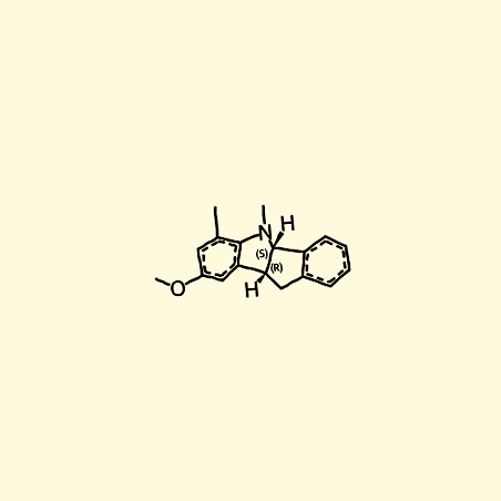 COc1cc(C)c2c(c1)[C@H]1Cc3ccccc3[C@H]1N2C